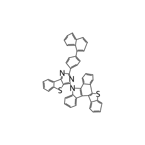 c1ccc2c(-c3ccc(-c4nc(-n5c6ccccc6c6c7c8ccccc8sc7c7ccccc7c65)c5sc6ccccc6c5n4)cc3)cccc2c1